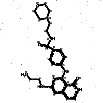 NCCNc1cc2cc[nH]c(=O)c2c(Nc2ccc(C(=O)NCCN3CCOCC3)cc2)n1